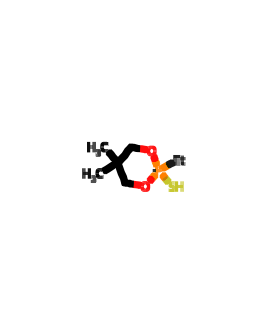 CC[P]1(S)OCC(C)(C)CO1